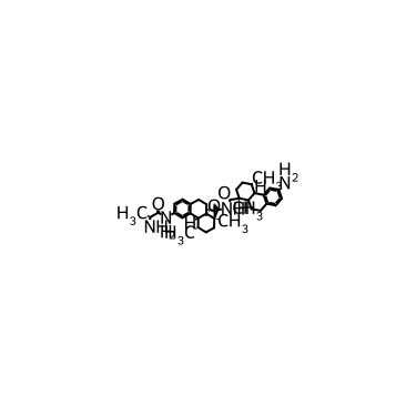 C[C@H](N)C(=O)Nc1ccc2c(c1)[C@@H]1[C@@H](CC2)[C@@](C)(C(=O)NC(=O)[C@@]2(C)CC[C@H](C)[C@@H]3c4cc(N)ccc4CC[C@H]32)CC[C@@H]1C